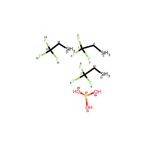 FC(F)(F)C[SiH3].FC(F)(F)C[SiH3].FC(F)(F)C[SiH3].OP(O)O